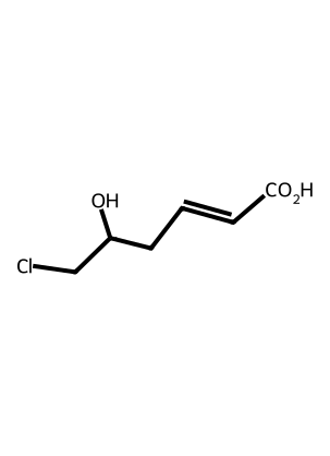 O=C(O)C=CC[C](O)CCl